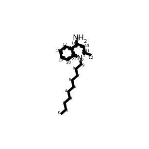 CCCCCCCCCC[n+]1c(C)cc(N)c2ccccc21